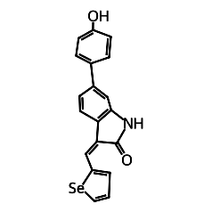 O=C1Nc2cc(-c3ccc(O)cc3)ccc2C1=Cc1ccc[se]1